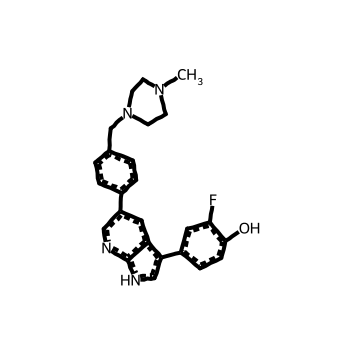 CN1CCN(Cc2ccc(-c3cnc4[nH]cc(-c5ccc(O)c(F)c5)c4c3)cc2)CC1